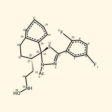 CC(=O)N1N=C(c2cc(F)ccc2F)S[C@@]12c1ccccc1CC[C@H]2CCNO